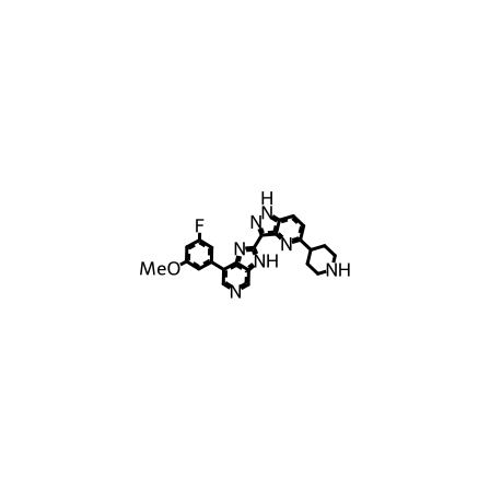 COc1cc(F)cc(-c2cncc3[nH]c(-c4n[nH]c5ccc(C6CCNCC6)nc45)nc23)c1